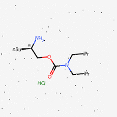 CCCC[C@@H](N)COC(=O)N(CC(C)C)CC(C)C.Cl